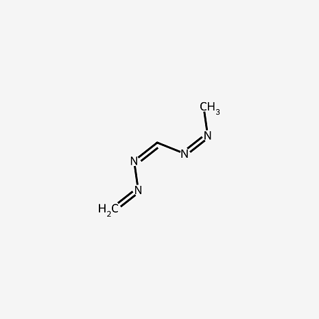 C=N/N=C\N=N/C